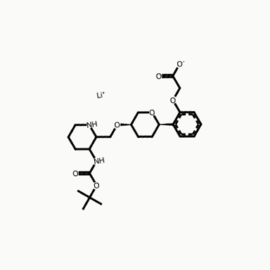 CC(C)(C)OC(=O)NC1CCCNC1CO[C@@H]1CC[C@H](c2ccccc2OCC(=O)[O-])OC1.[Li+]